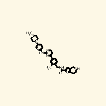 Cc1cc(-c2ccnc(Nc3ccc(N4CCN(C)CC4)cn3)n2)ccc1CNC(=O)c1cc2c(s1)CCNC2